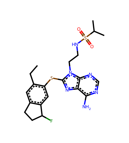 CCc1cc2c(cc1Sc1nc3c(N)ncnc3n1CCNS(=O)(=O)C(C)C)C(F)CC2